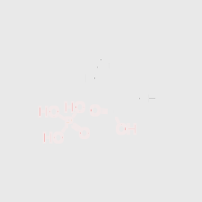 CCC(C)C(=O)O.O=P(O)(O)O.[Zn]